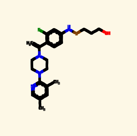 C=C(c1ccc(NSCCCO)cc1F)N1CCN(c2ncc(C)cc2C)CC1